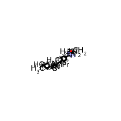 C=C(N)/N=C\C(=C/N)c1ccc(C(C)(c2noc(N3CCC(C)(O)CC3)n2)C(C)C)cc1